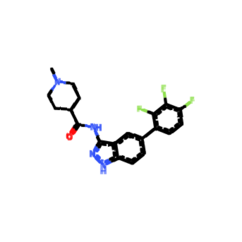 CN1CCC(C(=O)Nc2n[nH]c3ccc(-c4ccc(F)c(F)c4F)cc23)CC1